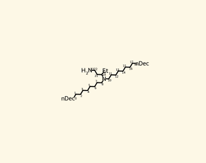 CCCCCCCCCCCCCCCCCCN(CCCCCCCCCCCCCCCCCC)C(CC)CCN